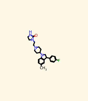 Cc1ccc2c(c1)C(c1ccc(F)cc1)CN2C1CCN(CCN2CCNC2=O)CC1